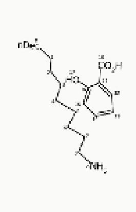 CCCCCCCCCCCCCCCCCCN.O=C(O)c1ccccc1O